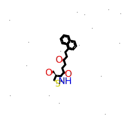 O=C[C@@H]1CSNC1C(=O)CCC(=O)CCc1cccc2ccccc12